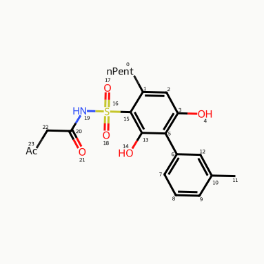 CCCCCc1cc(O)c(-c2cccc(C)c2)c(O)c1S(=O)(=O)NC(=O)CC(C)=O